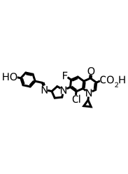 O=C(O)c1cn(C2CC2)c2c(Cl)c(N3CCC(N=Cc4ccc(O)cc4)C3)c(F)cc2c1=O